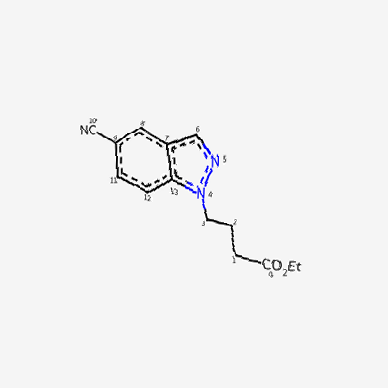 CCOC(=O)CCCn1ncc2cc(C#N)ccc21